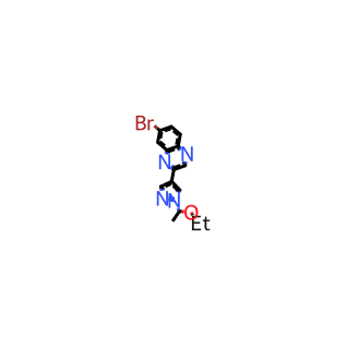 CCOC(C)n1cc(-c2cnc3ccc(Br)cc3n2)cn1